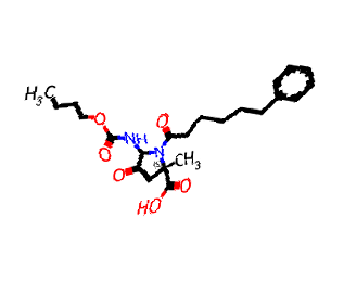 CCCCOC(=O)NC1C(=O)C[C@@](C)(C(=O)O)N1C(=O)CCCCCc1ccccc1